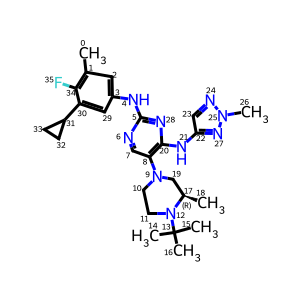 Cc1cc(Nc2ncc(N3CCN(C(C)(C)C)[C@H](C)C3)c(Nc3cnn(C)n3)n2)cc(C2CC2)c1F